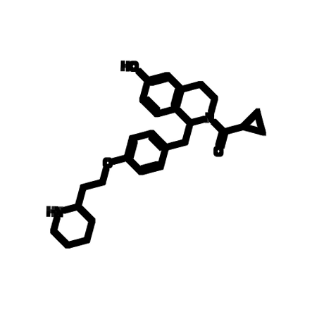 O=C(C1CC1)N1CCc2cc(O)ccc2C1Cc1ccc(OCCC2CCCCN2)cc1